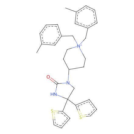 Cc1cccc(C[N+]2(Cc3cccc(C)c3)CCC(N3CC(c4cccs4)(c4cccs4)NC3=O)CC2)c1